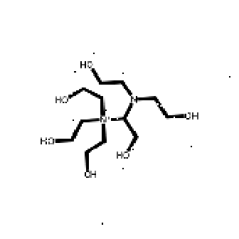 OCCN(CCO)C(CO)[N+](CCO)(CCO)CCO